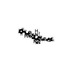 C[Si](C)(C)CCOCn1ccc2c(-c3cn(NC(=O)CCC4CCCC4)nc3N)ncnc21